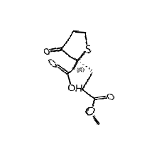 COC(=O)CC[C@@]1(C(=O)O)SCCC1=O